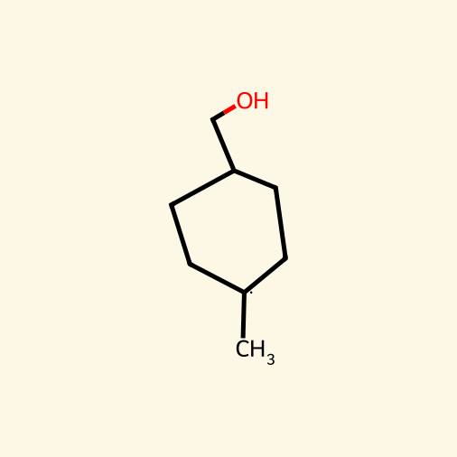 C[C]1CCC(CO)CC1